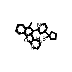 BC1(c2ccnc(-c3c(C)c4ccccc4c4oc5ncccc5c34)c2)CCCC1